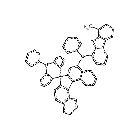 FC(F)(F)c1cccc2c1oc1c(N(c3ccccc3)c3cc4c(c5ccccc35)-c3c(ccc5ccccc35)C43c4ccccc4N(c4ccccc4)c4ccccc43)cccc12